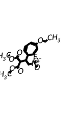 CCOC1=CC#CC(C(C[N+](=O)[O-])C(C(=O)OC)C(=O)OC)C(F)=C1